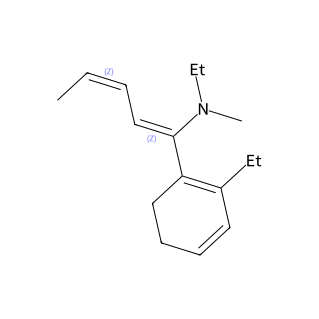 C/C=C\C=C(\C1=C(CC)C=CCC1)N(C)CC